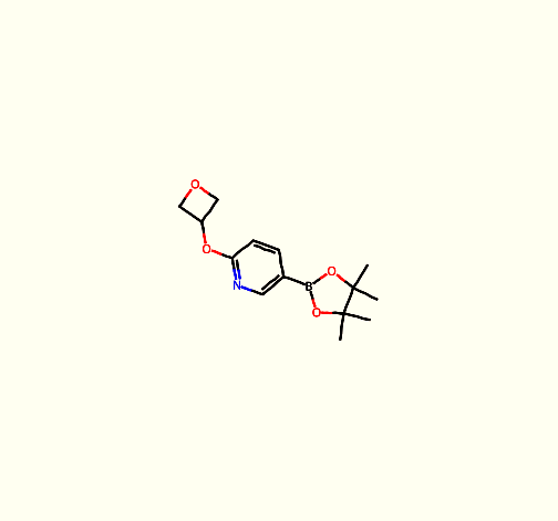 CC1(C)OB(c2ccc(OC3COC3)nc2)OC1(C)C